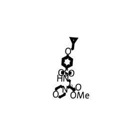 COC(=O)[C@H](CNS(=O)(=O)c1ccc(OCC2CC2)cc1)N1CCOCC1